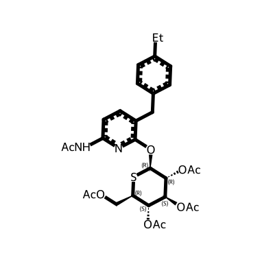 CCc1ccc(Cc2ccc(NC(C)=O)nc2O[C@@H]2S[C@H](COC(C)=O)[C@@H](OC(C)=O)[C@H](OC(C)=O)[C@H]2OC(C)=O)cc1